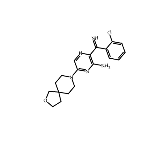 N=C(c1ccccc1Cl)c1ncc(N2CCC3(CCOC3)CC2)nc1N